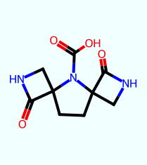 O=C(O)N1C2(CCC13CNC3=O)CNC2=O